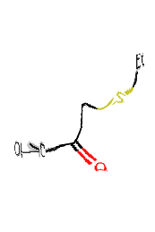 CCSCC(=O)C=O